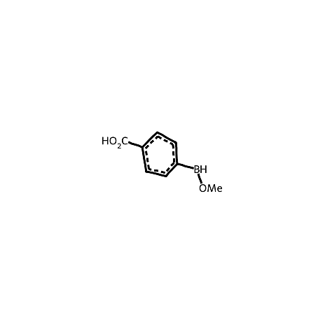 COBc1ccc(C(=O)O)cc1